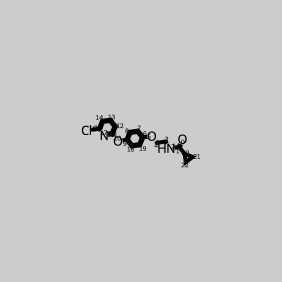 O=C(NCCOc1ccc(Oc2cccc(Cl)n2)cc1)C1CC1